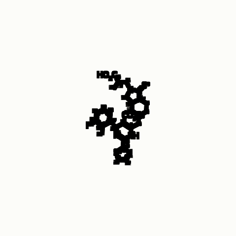 CCOC(=O)C1=C(CN2CCN3C(=S)N(CC(C)C(=O)O)CC3C2)NC(c2nccs2)=N[C@H]1c1cccc(F)c1C